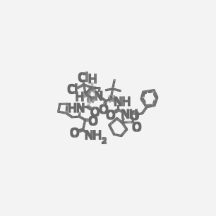 CC(C)(C)[C@H](NC(=O)NC1(C(=O)OCc2ccccc2)CCCCC1)C(=O)N1C[C@H]2[C@@H]([C@H]1C(=O)NC(CC1CCC1)C(=O)C(N)=O)C2(Cl)Cl